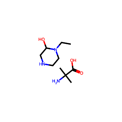 CC(C)(N)C(=O)O.CCN1CCNCC1O